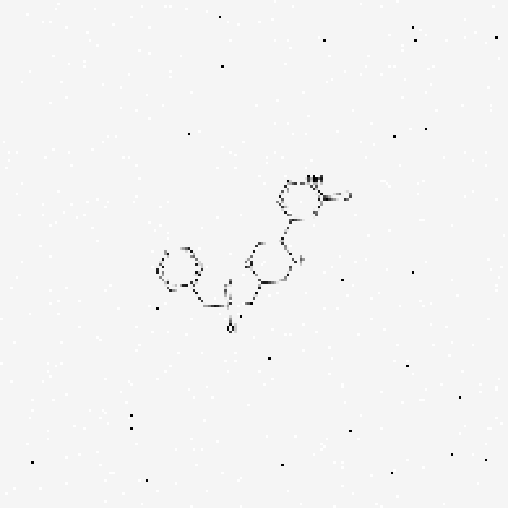 O=c1cc(C2COC(CP(=O)(O)Cc3ccccc3)CN2)cc[nH]1